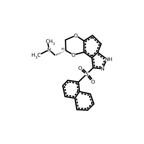 CN(C)C[C@@H]1COc2ccc3[nH]nc(S(=O)(=O)c4cccc5ccccc45)c3c2O1